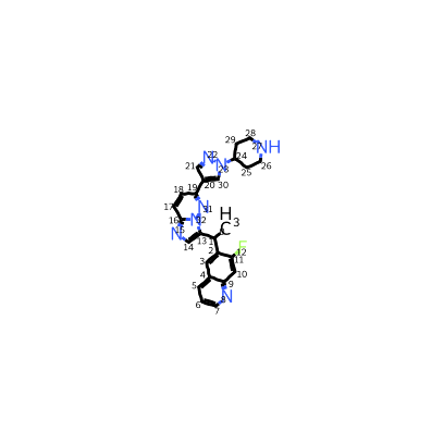 CC(c1cc2cccnc2cc1F)c1cnc2ccc(-c3cnn(C4CCNCC4)c3)nn12